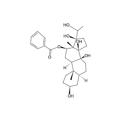 CC(O)[C@]1(O)CC[C@@]2(O)[C@]1(C)[C@H](OC(=O)c1ccccc1)C[C@@H]1[C@@]3(C)CC[C@H](O)C[C@@H]3CC[C@]12O